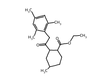 CCOC(=O)C1CCC(C)CC1C(=O)Cc1c(C)cc(C)cc1C